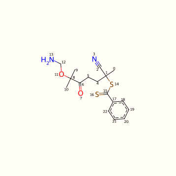 CC(C#N)(CCC(=O)C(C)(C)OCN)SC(=S)c1ccccc1